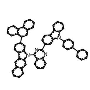 c1ccc(-c2ccc(-n3c4ccccc4c4ccc(-c5nc(-n6c7cc(-c8cc9ccccc9c9ccccc89)ccc7c7cc8ccccc8cc76)c6ccccc6n5)cc43)cc2)cc1